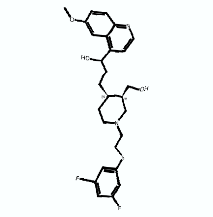 COc1ccc2nccc(C(O)CC[C@@H]3CCN(CCSc4cc(F)cc(F)c4)C[C@@H]3CO)c2c1